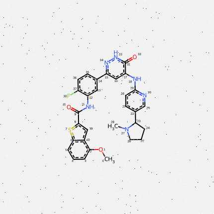 COc1cccc2sc(C(=O)Nc3cc(-c4cc(Nc5ccc(C6CCCN6C)cn5)c(=O)[nH]n4)ccc3F)cc12